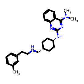 Cc1cccc(CCNC[C@H]2CC[C@@H](Nc3nc(N(C)C)c4ccccc4n3)CC2)c1